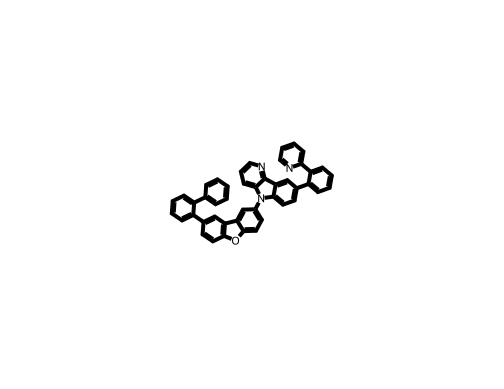 c1ccc(-c2ccccc2-c2ccc3oc4ccc(-n5c6ccc(-c7ccccc7-c7ccccn7)cc6c6ncccc65)cc4c3c2)cc1